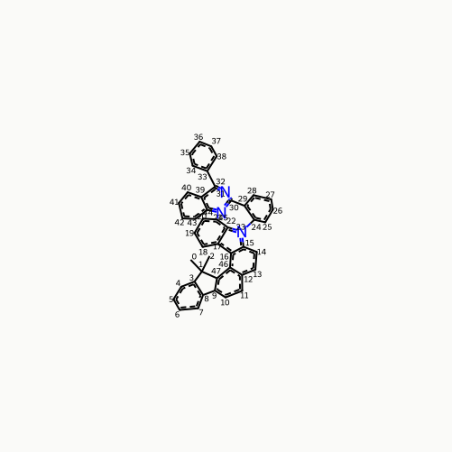 CC1(C)c2ccccc2-c2ccc3ccc4c(c5ccccc5n4-c4ccccc4-c4nc(-c5ccccc5)c5ccccc5n4)c3c21